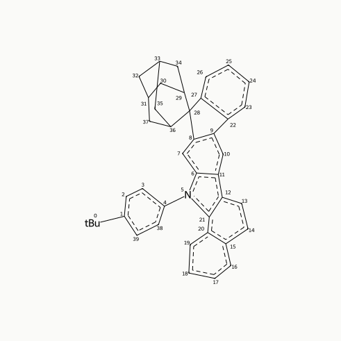 CC(C)(C)c1ccc(-n2c3cc4c(cc3c3ccc5ccccc5c32)-c2ccccc2C42C3CC4CC(C3)CC2C4)cc1